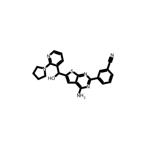 N#Cc1cccc(-c2nc(N)c3cc(C(O)c4cccnc4N4CCCC4)sc3n2)c1